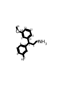 CCC(c1cccc(F)c1)c1cccc(OC)c1.N